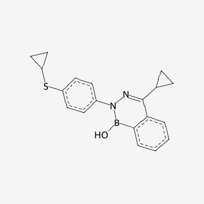 OB1c2ccccc2C(C2CC2)=NN1c1ccc(SC2CC2)cc1